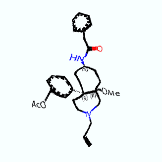 C=CCN1CC[C@@]2(c3cccc(OC(C)=O)c3)C[C@@H](NC(=O)c3ccccc3)CC[C@]2(OC)C1